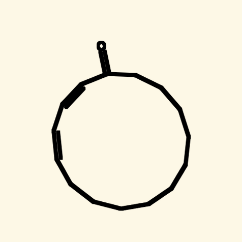 O=C1C=C/C=C\CCCCCCCCCC1